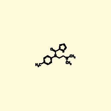 Cc1ccc(N(CCN(C)C)C(=O)c2cccs2)cc1